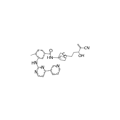 C=C(C#N)C(O)CCC12CCC(NC(=O)c3ccc(C)c(Nc4nccc(-c5cccnc5)n4)c3)(CC1)CC2